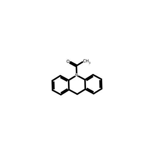 CC(=O)N1c2ccccc2Cc2ccccc21